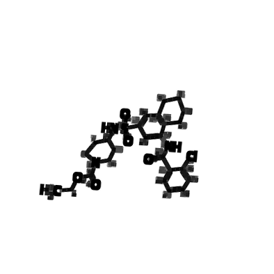 CCOC(=O)N1CCC(NS(=O)(=O)c2cc3c(c(NC(=O)c4ccccc4Cl)c2)CCCC3)CC1